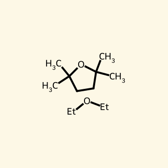 CC1(C)CCC(C)(C)O1.CCOCC